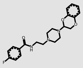 O=C(NCCN1CCN(C2COc3ccccc3O2)CC1)c1ccc(F)cc1